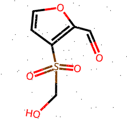 O=Cc1occc1S(=O)(=O)CO